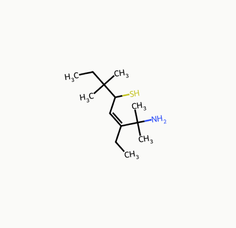 CCC(=CC(S)C(C)(C)CC)C(C)(C)N